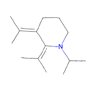 CC(C)=C1CCCN(C(C)C)C1=C(C)C